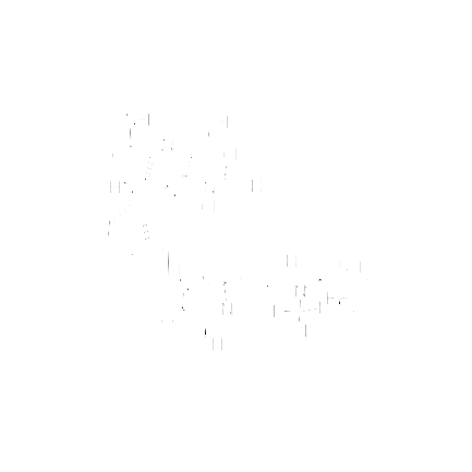 BC(B)(B)N(C/C=C/C(=O)N(C)[C@@H](C)C(=O)NCCc1cccc(Nc2nc(N(C)C(C)C)c(CC)nc2C(N)=O)c1)C(B)(B)B